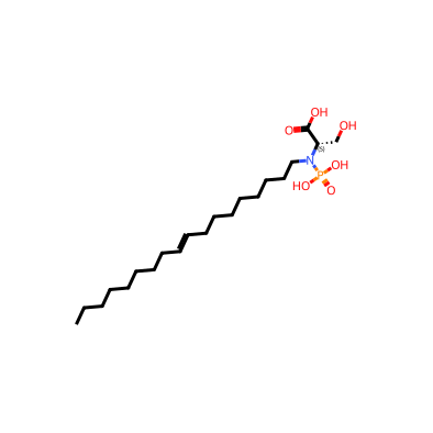 CCCCCCCCC=CCCCCCCCCN([C@@H](CO)C(=O)O)P(=O)(O)O